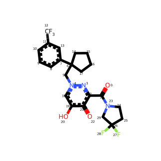 O=C(c1nn(CC2(c3cccc(C(F)(F)F)c3)CCCC2)cc(O)c1=O)N1CCC(F)(F)C1